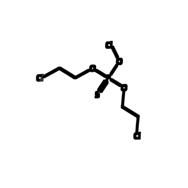 S=P(OCl)(OCCCl)OCCCl